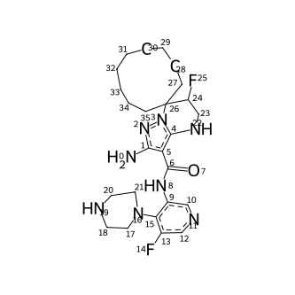 Nc1nn2c(c1C(=O)Nc1cncc(F)c1N1CCNCC1)NCC(F)C21CCCCCCCCC1